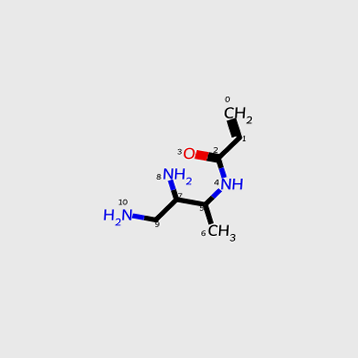 C=CC(=O)NC(C)C(N)CN